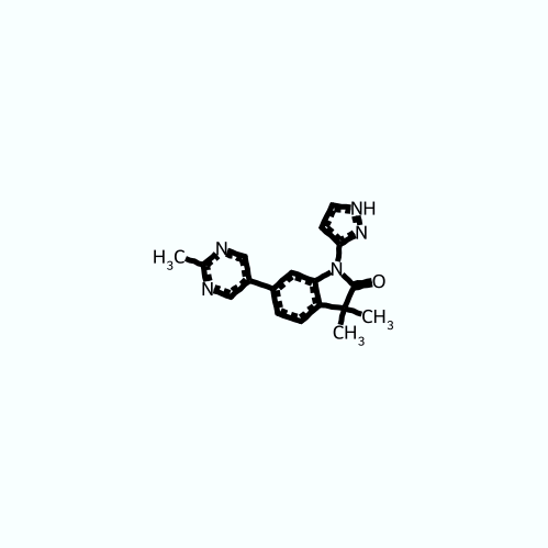 Cc1ncc(-c2ccc3c(c2)N(c2cc[nH]n2)C(=O)C3(C)C)cn1